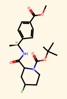 COC(=O)c1ccc([C@H](C)NC(=O)C2CC(F)CCN2C(=O)OC(C)(C)C)cc1